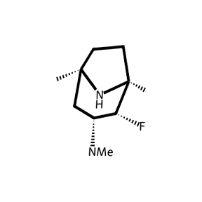 CN[C@@H]1C[C@@]2(C)CC[C@](C)(N2)[C@@H]1F